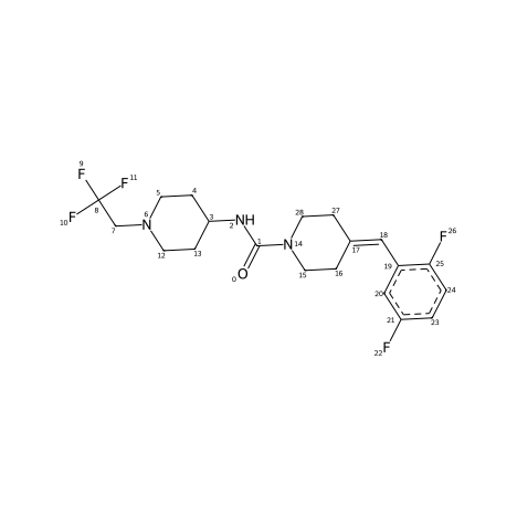 O=C(NC1CCN(CC(F)(F)F)CC1)N1CCC(=Cc2cc(F)ccc2F)CC1